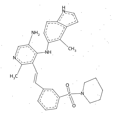 Cc1ncc(N)c(Nc2ccc3[nH]ccc3c2C)c1/C=C/c1cccc(S(=O)(=O)N2CCCCC2)c1